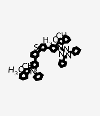 CC1(C)c2ccccc2C2C1c1cc(-c3ccc4sc5ccc(-c6ccc7c(c6)C6C(c8ccccc8C6(C)C)N7c6nc(-c7ccccc7)nc(-c7ccccc7)n6)cc5c4c3)ccc1N2c1ccccc1